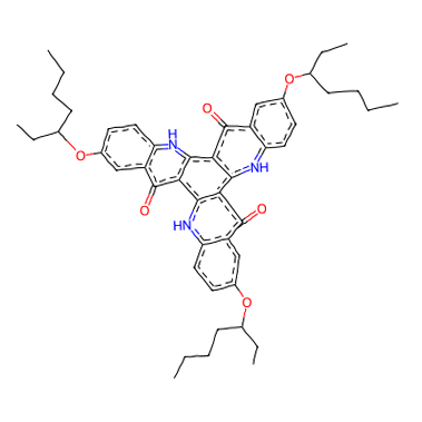 CCCCC(CC)Oc1ccc2[nH]c3c4c(=O)c5cc(OC(CC)CCCC)ccc5[nH]c4c4c(=O)c5cc(OC(CC)CCCC)ccc5[nH]c4c3c(=O)c2c1